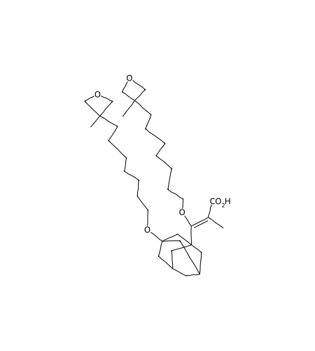 CC(C(=O)O)=C(OCCCCCCCC1(C)COC1)C12CC3CC(CC(OCCCCCCCC4(C)COC4)(C3)C1)C2